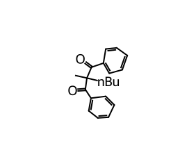 CCCCC(C)(C(=O)c1ccccc1)C(=O)c1ccccc1